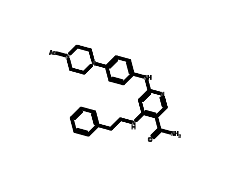 CC(=O)N1CCN(c2ccc(Nc3cc(NCCc4ccccc4)c(C(N)=O)cn3)cc2)CC1